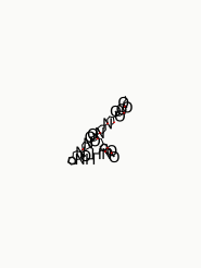 CCOC(=O)OC(C)OC(=O)C1CCN(C2CCN(C(=O)[C@@H](Cc3cc(C)c4[nH]c(=O)oc4c3)OC(=O)N3CCC(N4CCc5ccccc5NC4=O)CC3)CC2)CC1